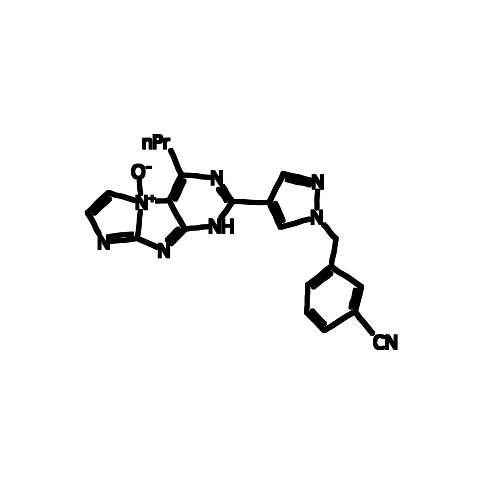 CCCC1=C2C(=NC3=NC=C[N+]32[O-])NC(c2cnn(Cc3cccc(C#N)c3)c2)=N1